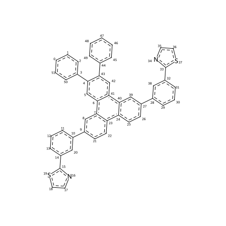 c1ccc(-c2cc3c4cc(-c5cccc(-c6nccs6)c5)ccc4c4ccc(-c5cccc(-c6nccs6)c5)cc4c3cc2-c2ccccc2)cc1